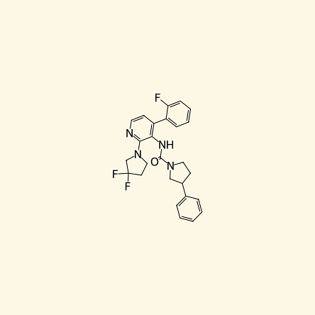 O=C(Nc1c(-c2ccccc2F)ccnc1N1CCC(F)(F)C1)N1CCC(c2ccccc2)C1